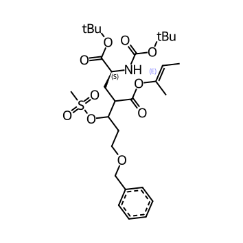 C/C=C(\C)OC(=O)C(C[C@H](NC(=O)OC(C)(C)C)C(=O)OC(C)(C)C)C(CCOCc1ccccc1)OS(C)(=O)=O